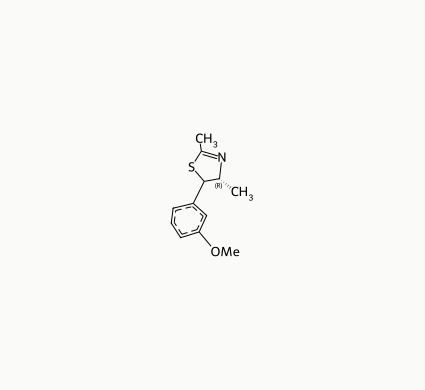 COc1cccc(C2SC(C)=N[C@@H]2C)c1